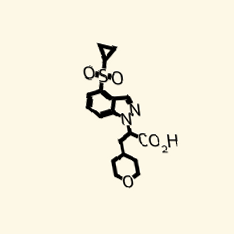 O=C(O)C(CC1CCOCC1)n1ncc2c(S(=O)(=O)C3CC3)cccc21